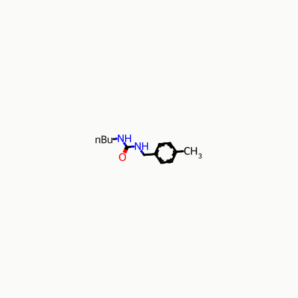 CCCCNC(=O)NCc1ccc(C)cc1